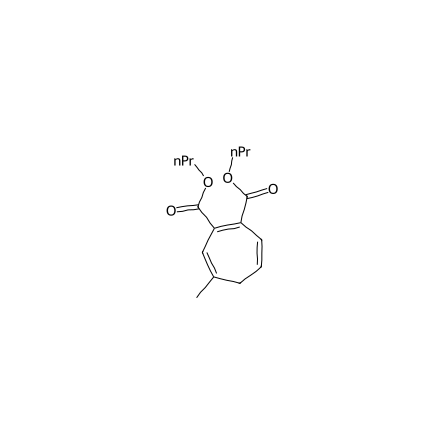 CCCOC(=O)C1=C(C(=O)OCCC)C=C(C)CC=C1